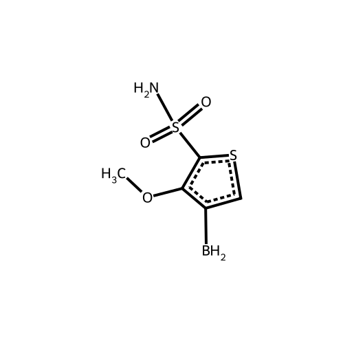 Bc1csc(S(N)(=O)=O)c1OC